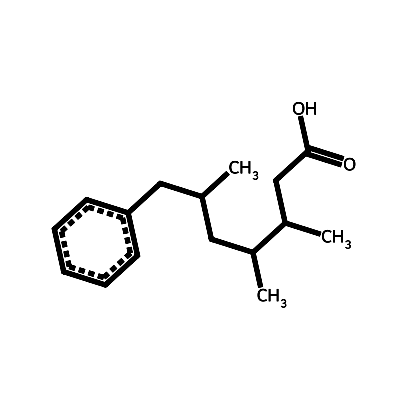 CC(Cc1ccccc1)CC(C)C(C)CC(=O)O